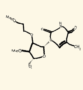 CC[C@H]1O[C@@H](n2cc(C)c(=O)[nH]c2=O)C(OCCOC)C1OC